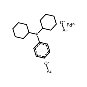 CC(=O)[O-].CC(=O)[O-].[Pd+2].c1ccc(P(C2CCCCC2)C2CCCCC2)cc1